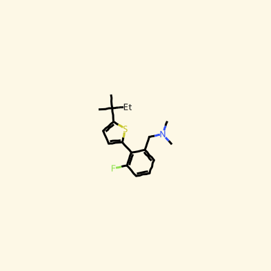 CCC(C)(C)c1ccc(-c2c(F)cccc2CN(C)C)s1